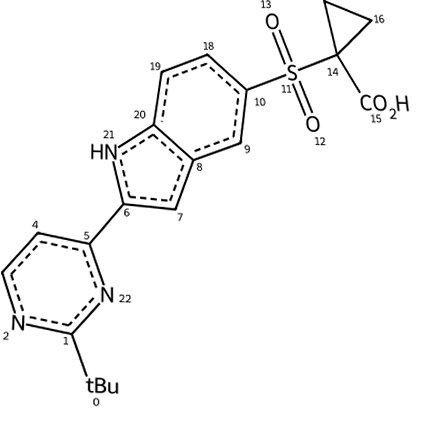 CC(C)(C)c1nccc(-c2cc3cc(S(=O)(=O)C4(C(=O)O)CC4)ccc3[nH]2)n1